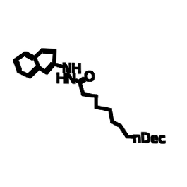 CCCCCCCCCCCCCCCCCC(=O)NNc1ccc2ccccc2c1